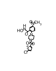 C[N+](=O)c1ccc(N2CCN(S(=O)(=O)c3ccc(Cl)s3)CC2)c(C(=O)NO)c1